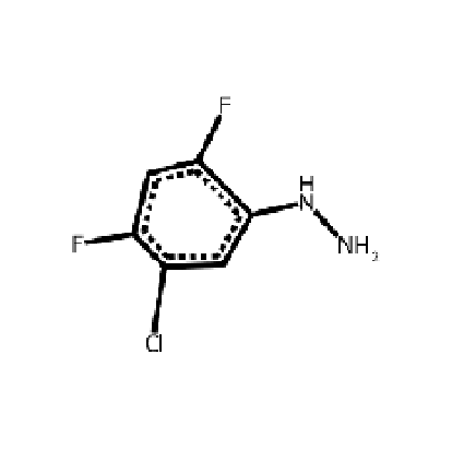 NNc1cc(Cl)c(F)cc1F